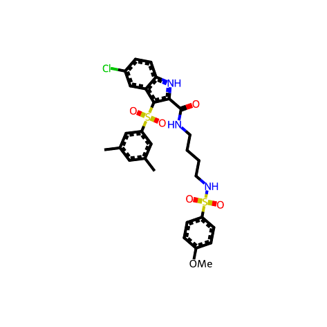 COc1ccc(S(=O)(=O)NCCCCNC(=O)c2[nH]c3ccc(Cl)cc3c2S(=O)(=O)c2cc(C)cc(C)c2)cc1